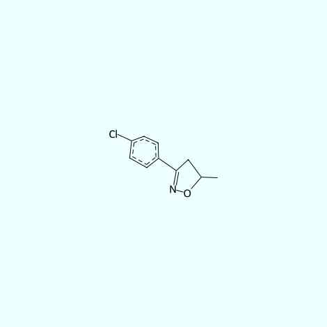 CC1CC(c2ccc(Cl)cc2)=NO1